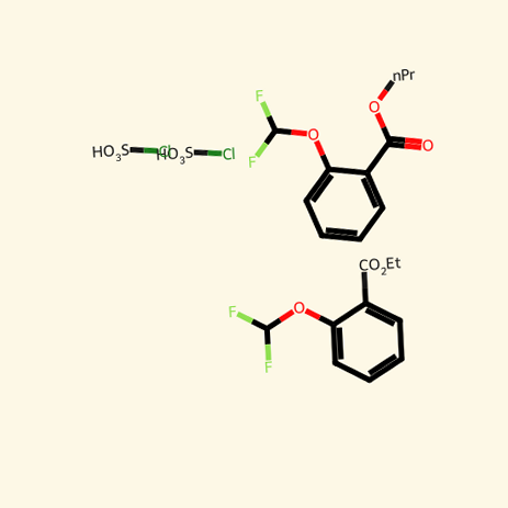 CCCOC(=O)c1ccccc1OC(F)F.CCOC(=O)c1ccccc1OC(F)F.O=S(=O)(O)Cl.O=S(=O)(O)Cl